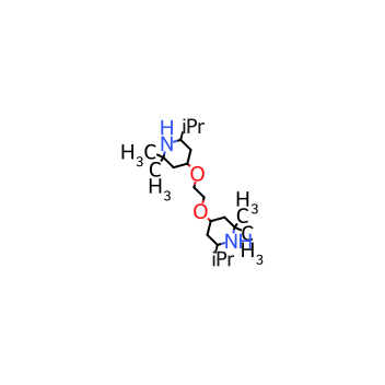 CC(C)C1CC(OCCOC2CC(C(C)C)NC(C)(C)C2)CC(C)(C)N1